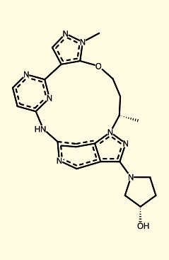 C[C@H]1CCOc2c(cnn2C)-c2nccc(n2)Nc2cc3c(cn2)c(N2CC[C@H](O)C2)nn31